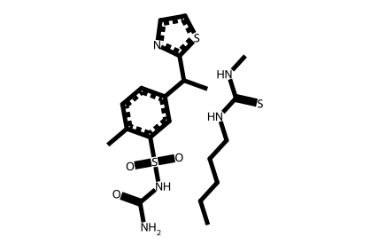 CCCCCNC(=S)NC.Cc1ccc(C(C)c2nccs2)cc1S(=O)(=O)NC(N)=O